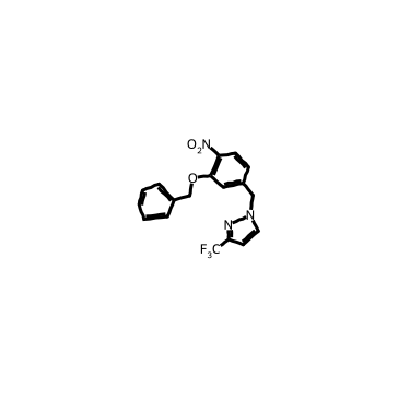 O=[N+]([O-])c1ccc(Cn2ccc(C(F)(F)F)n2)cc1OCc1ccccc1